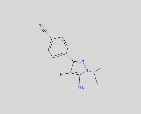 CC(C)n1nc(-c2ccc(C#N)cc2)c(I)c1N